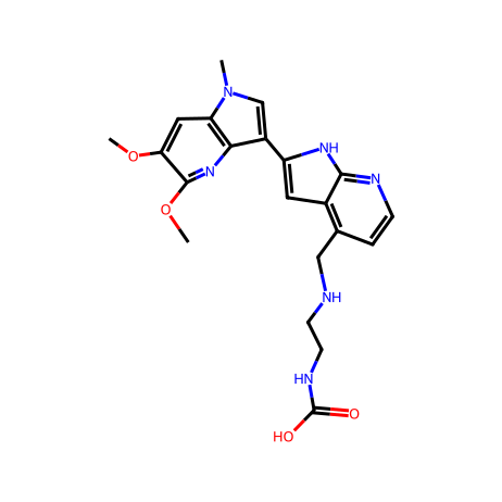 COc1cc2c(nc1OC)c(-c1cc3c(CNCCNC(=O)O)ccnc3[nH]1)cn2C